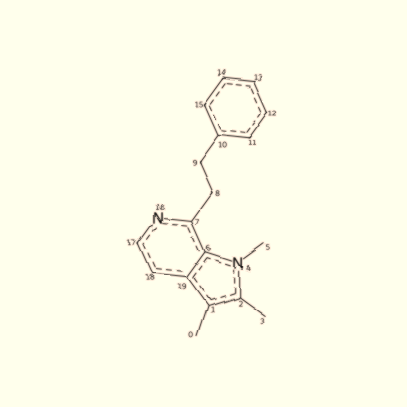 Cc1c(C)n(C)c2c(CCc3ccccc3)nccc12